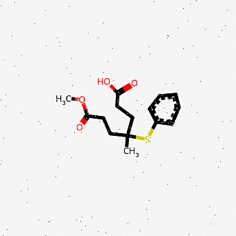 COC(=O)CCC(C)(CCC(=O)O)Sc1ccccc1